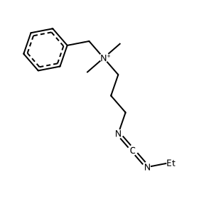 CCN=C=NCCC[N+](C)(C)Cc1ccccc1